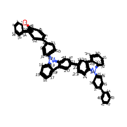 C1=CC2Oc3ccc(-c4ccc(-n5c6ccccc6c6cc(-c7ccc8c(c7)C7C=CC=CC7N8c7ccc(-c8ccccc8)cc7)ccc65)cc4)cc3C2C=C1